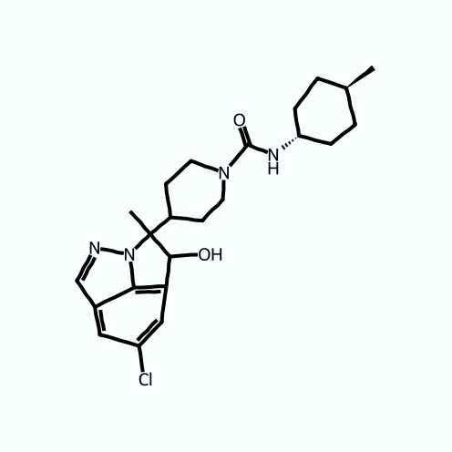 CC1(C2CCN(C(=O)N[C@H]3CC[C@H](C)CC3)CC2)C(O)c2cc(Cl)cc3cnn1c23